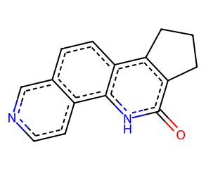 O=c1[nH]c2c(ccc3cnccc32)c2c1CCC2